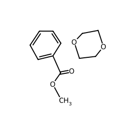 C1COCCO1.COC(=O)c1ccccc1